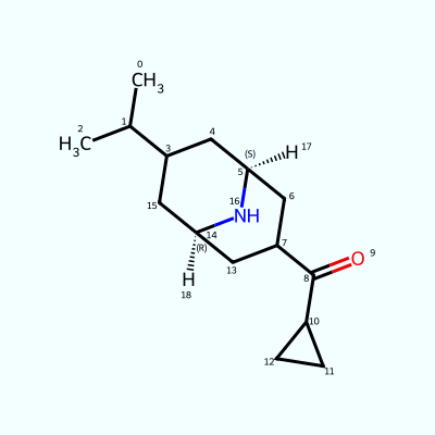 CC(C)C1C[C@H]2CC(C(=O)C3CC3)C[C@@H](C1)N2